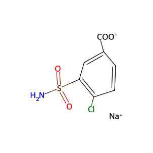 NS(=O)(=O)c1cc(C(=O)[O-])ccc1Cl.[Na+]